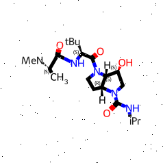 CN[C@@H](C)C(=O)N[C@H](C(=O)N1CC[C@@H]2[C@H]1[C@@H](O)CN2C(=O)NC(C)C)C(C)(C)C